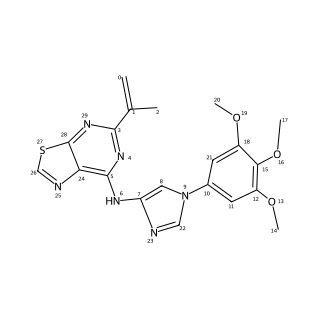 C=C(C)c1nc(Nc2cn(-c3cc(OC)c(OC)c(OC)c3)cn2)c2ncsc2n1